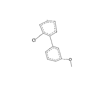 COc1cccc(-c2cc[c]cc2Cl)c1